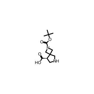 CC(C)(C)OC(=O)N1CC2(CNC[C@H]2C(=O)O)C1